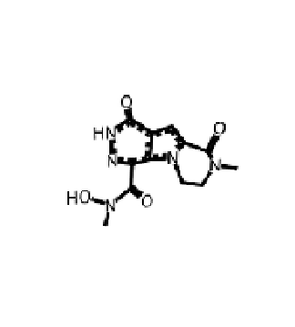 CN(O)C(=O)c1n[nH]c(=O)c2cc3n(c12)CCN(C)C3=O